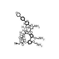 Cc1nc(-c2ccc(C3CCOCC3)cc2)ncc1C(=O)NC(CCN)C(=O)N(C)C1C(=O)NC(C)C(=O)NC(C(=O)NCC#N)Cc2ccc(OCCN)c(c2)-c2cc1ccc2OCCN